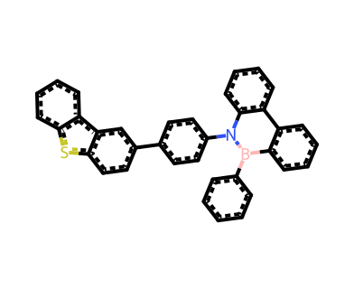 c1ccc(B2c3ccccc3-c3ccccc3N2c2ccc(-c3ccc4sc5ccccc5c4c3)cc2)cc1